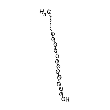 CCCCCCCCCCCCCOCCOCCOCCOCCOCCOCCOCCOCCOCCOCCOCCOCCO